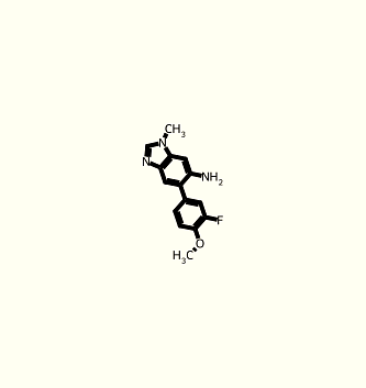 COc1ccc(-c2cc3ncn(C)c3cc2N)cc1F